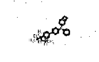 CCC(C)(CC)CC(C)(c1ccc(-c2ccc(N(c3ccccc3)c3ccc4c(c3)CC4)cc2)cc1)C(C)(CC)CC